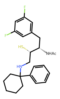 CC(=O)N[C@@H](Cc1cc(F)cc(F)c1)[C@@H](S)CNC1(c2ccccc2)CCCCC1